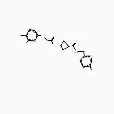 O=C(COc1ccc(Cl)c(F)c1)N[C@H]1C[C@H](C(=O)NCc2ccc(Cl)cn2)C1